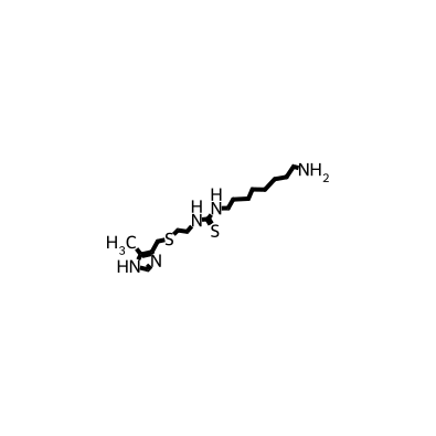 Cc1[nH]cnc1CSCCNC(=S)NCCCCCCCCN